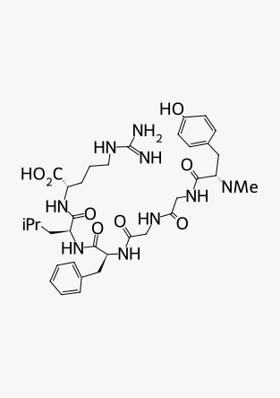 CN[C@@H](Cc1ccc(O)cc1)C(=O)NCC(=O)NCC(=O)N[C@@H](Cc1ccccc1)C(=O)N[C@@H](CC(C)C)C(=O)N[C@@H](CCCNC(=N)N)C(=O)O